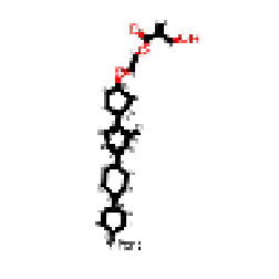 C=C(CO)C(=O)OCCOC1CCC(c2ccc(C3CCC(C4CCC(CCCCC)CC4)CC3)cc2C)CC1